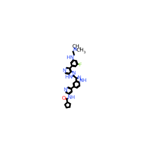 CN(C)CCNc1cc(F)cc(-c2cncc3[nH]c(-c4n[nH]c5ccc(-c6cncc(NC(=O)C7CCCC7)c6)cc45)nc23)c1